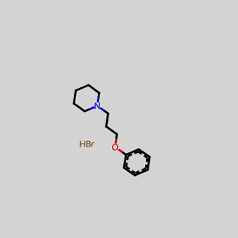 Br.c1ccc(OCCCN2CCCCC2)cc1